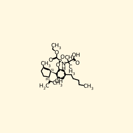 C=C(C)[C@@H]1CCC(C)=C[C@H]1c1c(O)cc(CCCCC)cc1OP(=O)(NC(C)(C)C(=O)O)C(=O)OCC